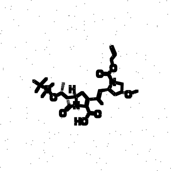 C=CCOC(=O)N1C[C@H](OC)C[C@H]1C=C(C)C1=C(C(=O)O)N2C(=O)[C@H]([C@@H](C)O[Si](C)(C)C(C)(C)C)[C@H]2C1